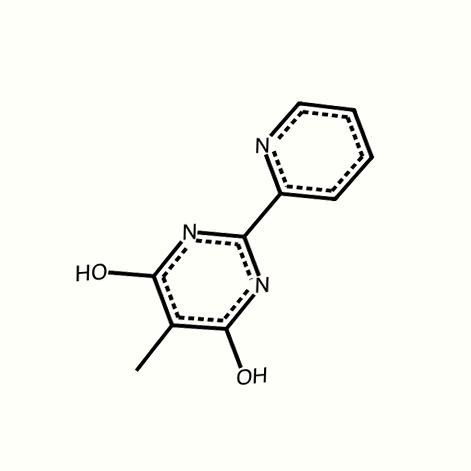 Cc1c(O)nc(-c2ccccn2)nc1O